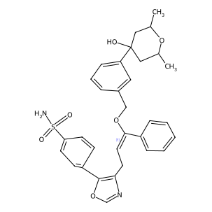 CC1CC(O)(c2cccc(CO/C(=C/Cc3ncoc3-c3ccc(S(N)(=O)=O)cc3)c3ccccc3)c2)CC(C)O1